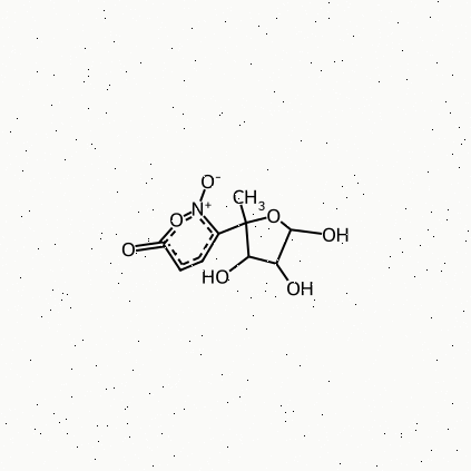 CC1(c2ccc(=O)o[n+]2[O-])OC(O)C(O)C1O